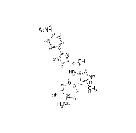 CC(=O)Nc1ccc(-c2nc(C(O)Nc3cnn(C)c3[C@@H]3CC[C@@H](N)[C@H](F)CO3)cs2)cn1